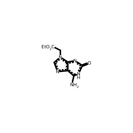 CCOC(=O)Cn1cnc2c(N)[nH]c(=O)nc21